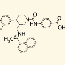 C[C@@H](NCC1CN(C(=O)Nc2ccc(C(=O)O)cc2)CCC1c1cccc(F)c1)c1cccc2ccccc12